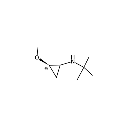 CO[C@@H]1CC1NC(C)(C)C